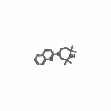 CC1(C)CCN(c2ccc3ccccc3n2)CC(C)(C)N1